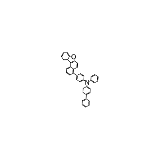 C1=C(c2ccccc2)CCC(N(c2ccccc2)c2ccc(-c3cccc4c3ccc3oc5ccccc5c34)cc2)=C1